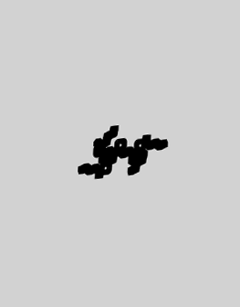 CCCCC(C)Oc1cc(OC(C)CCCC)cc(C(=O)C=Cc2cc(CC)ccc2OC(C)CCCC)c1